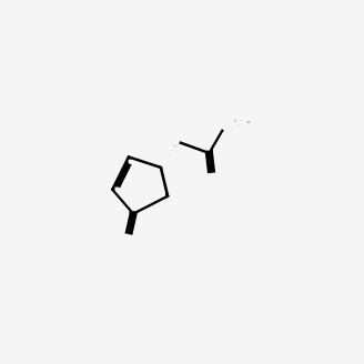 COC(=O)C[C@H]1C=CC(=O)C1